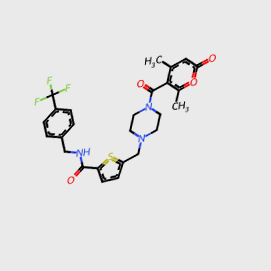 Cc1cc(=O)oc(C)c1C(=O)N1CCN(Cc2ccc(C(=O)NCc3ccc(C(F)(F)F)cc3)s2)CC1